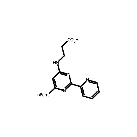 CCCCCc1cc(NCCC(=O)O)nc(-c2ccccn2)n1